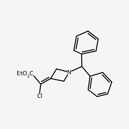 CCOC(=O)C(Cl)=C1CN(C(c2ccccc2)c2ccccc2)C1